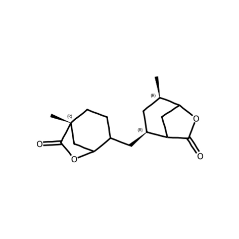 C[C@@H]1C[C@H](CC2CC[C@]3(C)CC2OC3=O)C2CC1OC2=O